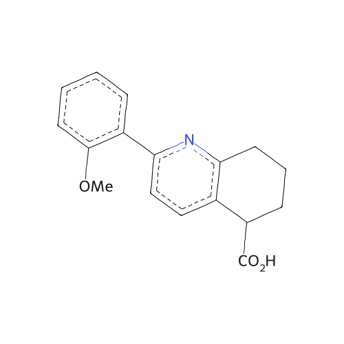 COc1ccccc1-c1ccc2c(n1)CCCC2C(=O)O